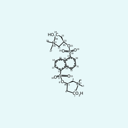 C[N+](C)(C)C[C@@H](CC(=O)O)OS(=O)(=O)c1cccc2c(S(=O)(=O)O[C@H](CC(=O)O)C[N+](C)(C)C)cccc12